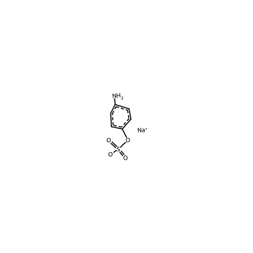 Nc1ccc(OS(=O)(=O)[O-])cc1.[Na+]